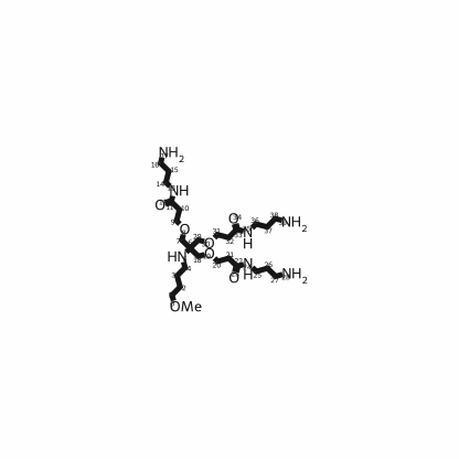 COCCCCNC(COCCC(=O)NCCCN)(COCCC(=O)NCCCN)COCCC(=O)NCCCN